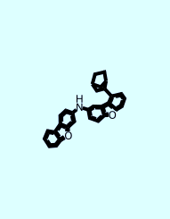 c1ccc2c(c1)oc1cc(Nc3ccc4oc5cccc(C6CC7CCC6C7)c5c4c3)ccc12